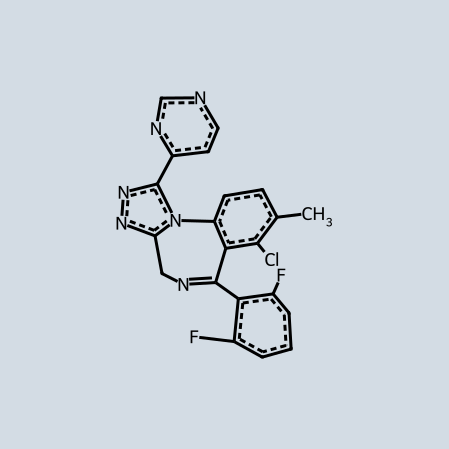 Cc1ccc2c(c1Cl)C(c1c(F)cccc1F)=NCc1nnc(-c3ccncn3)n1-2